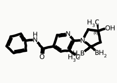 BC1(B)C[C@@](C)(O)CN1c1ncc(C(=O)Nc2ccccc2)cc1C